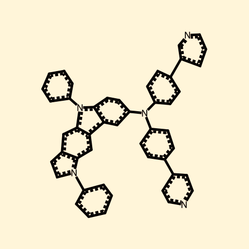 c1ccc(-n2ccc3cc4c(cc32)c2cc(N(c3ccc(-c5ccncc5)cc3)c3ccc(-c5cccnc5)cc3)ccc2n4-c2ccccc2)cc1